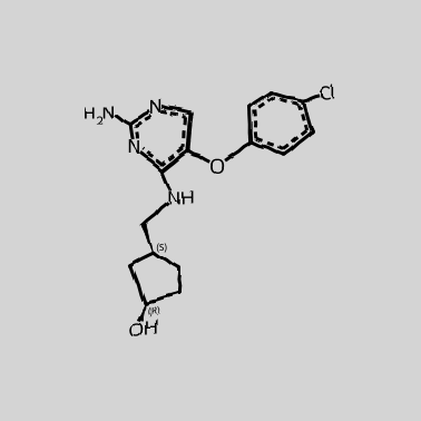 Nc1ncc(Oc2ccc(Cl)cc2)c(NC[C@H]2CC[C@@H](O)C2)n1